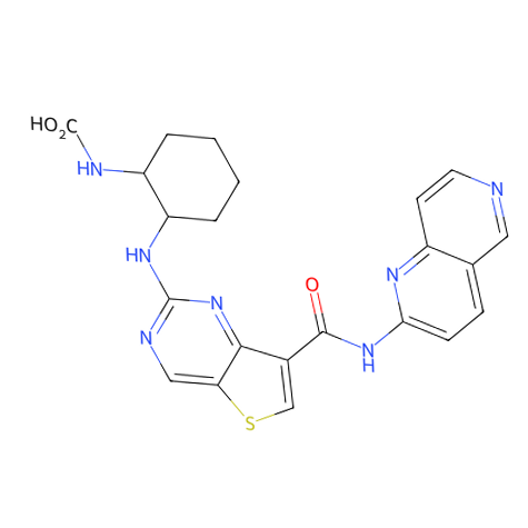 O=C(O)NC1CCCCC1Nc1ncc2scc(C(=O)Nc3ccc4cnccc4n3)c2n1